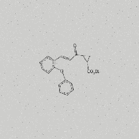 CCOC(=O)C1CC1C(=O)C=Cc1ccccc1Oc1ccccc1